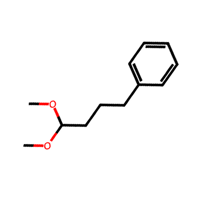 COC(CCCc1ccccc1)OC